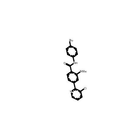 CCC(C)c1ccc(NC(=O)c2ccc(-c3ncccc3Cl)cc2NC)cc1